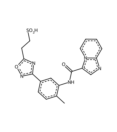 Cc1ccc(-c2noc(CCS(=O)(=O)O)n2)cc1NC(=O)c1cnc2ccccn12